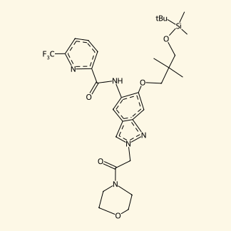 CC(C)(COc1cc2nn(CC(=O)N3CCOCC3)cc2cc1NC(=O)c1cccc(C(F)(F)F)n1)CO[Si](C)(C)C(C)(C)C